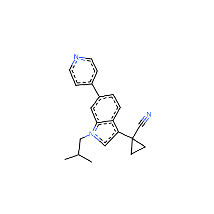 CC(C)Cn1cc(C2(C#N)CC2)c2ccc(-c3ccncc3)cc21